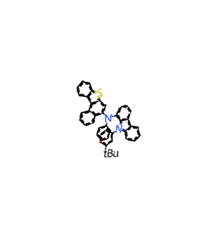 CC(C)(C)c1cccc(-n2c3ccccc3c3cccc(N(c4ccccc4)c4cc5sc6ccccc6c5c5ccccc45)c32)c1